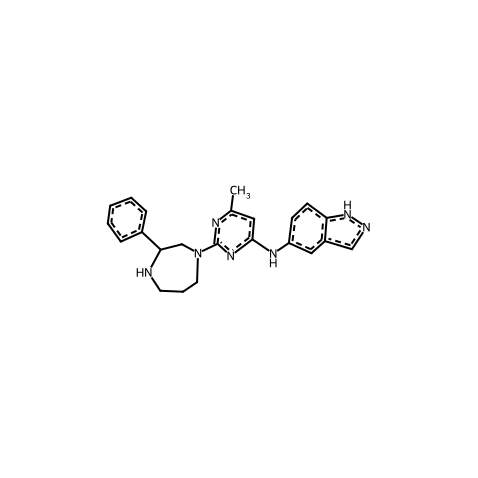 Cc1cc(Nc2ccc3[nH]ncc3c2)nc(N2CCCNC(c3ccccc3)C2)n1